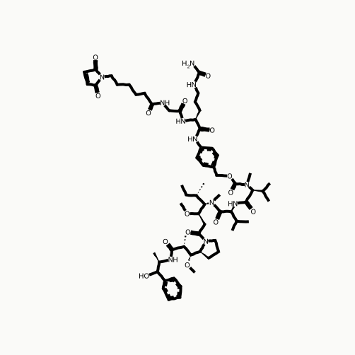 CC[C@H](C)[C@@H]([C@@H](CC(=O)N1CCC[C@H]1[C@H](OC)[C@@H](C)C(=O)N[C@H](C)C(O)c1ccccc1)OC)N(C)C(=O)[C@@H](NC(=O)[C@H](C(C)C)N(C)C(=O)OCc1ccc(NC(=O)[C@H](CCCNC(N)=O)NC(=O)CNC(=O)CCCCCN2C(=O)C=CC2=O)cc1)C(C)C